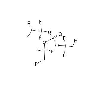 CC(F)C(F)(F)OP(=O)(OC(F)(F)CF)OC(F)(F)CF